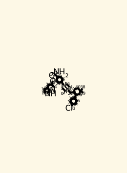 C[C@H]1CN(c2ccc(C(N)=O)c(Oc3cnc4[nH]ccc4c3)c2)CCN1CC1=C(c2ccc(Cl)cc2)CC(C)(C)CC1